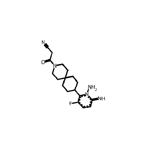 N#CCC(=O)N1CCC2(CCC(c3c(F)ccc(=N)n3N)CC2)CC1